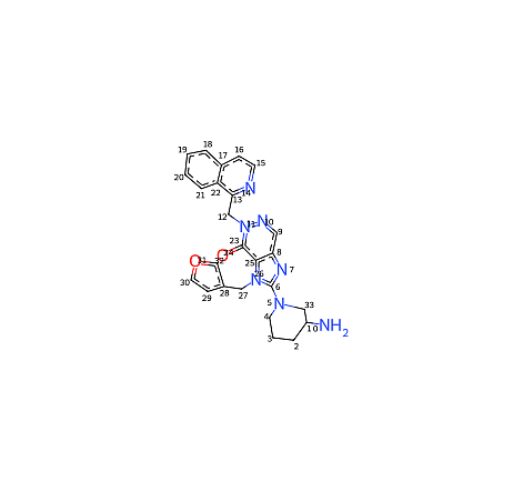 NC1CCCN(c2nc3cnn(Cc4nccc5ccccc45)c(=O)c3n2Cc2ccoc2)C1